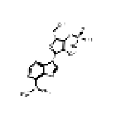 CN(C)c1ncnc2c1ncn2[C@@H]1O[C@H](CO)[C@@H](OP(=O)(O)O)[C@H]1O